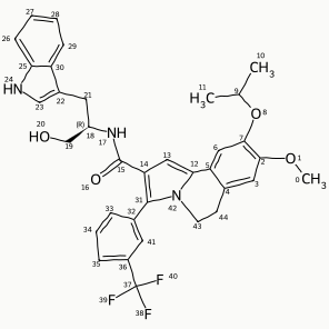 COc1cc2c(cc1OC(C)C)-c1cc(C(=O)N[C@@H](CO)Cc3c[nH]c4ccccc34)c(-c3cccc(C(F)(F)F)c3)n1CC2